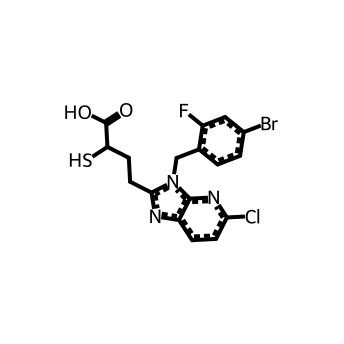 O=C(O)C(S)CCc1nc2ccc(Cl)nc2n1Cc1ccc(Br)cc1F